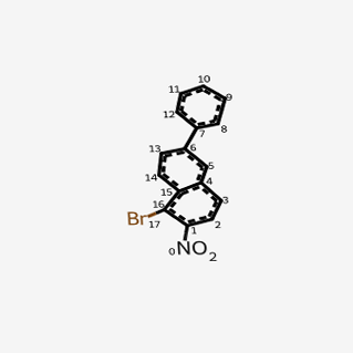 O=[N+]([O-])c1ccc2cc(-c3ccccc3)ccc2c1Br